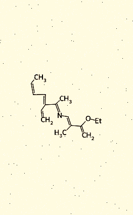 C=CC(=C\C=C/C)/C(C)=N/C=C(\C)C(=C)OCC